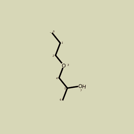 [CH2]CCOCC(C)O